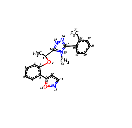 C[C@H](Oc1ccccc1-c1ccno1)c1nnc(-c2ccccc2C(F)(F)F)n1C